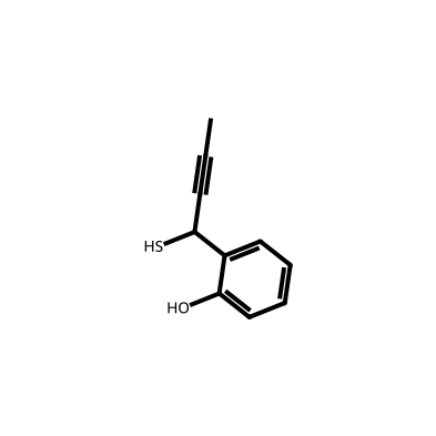 CC#CC(S)c1ccccc1O